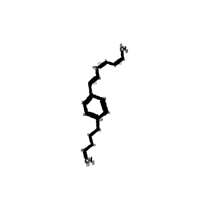 C\C=C/C=N\C=C\c1ccc(CCCCC)cc1